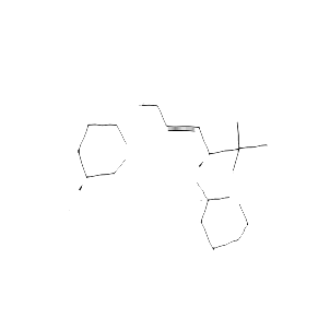 CCCCC(C)(C)[C@H](C=C[C@@H](C=O)O[C@H]1CC[C@H](O)CO1)OC1CCCCO1